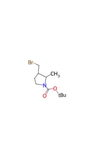 CC1C(CBr)CCN1C(=O)OC(C)(C)C